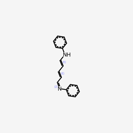 C(/C=C/C=C/Nc1ccccc1)=N/c1ccccc1